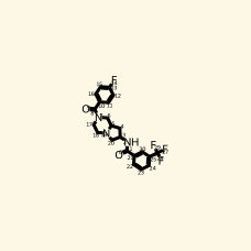 O=C(NC1CC2CN(C(=O)c3ccc(F)cc3)CCN2C1)c1cccc(C(F)(F)F)c1